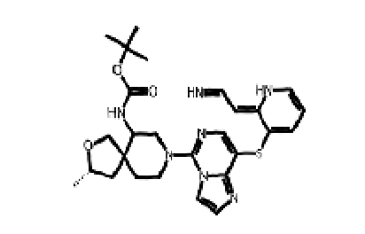 C[C@H]1CC2(CCN(c3ncc(SC4=CC=CN/C4=C\C=N)c4nccn34)CC2NC(=O)OC(C)(C)C)CO1